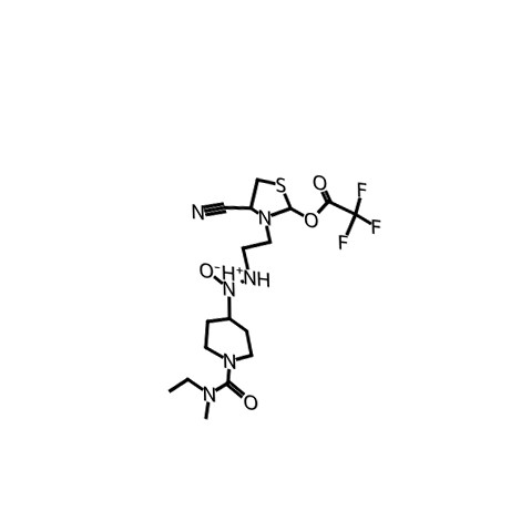 CCN(C)C(=O)N1CCC([NH+]([O-])NCCN2C(C#N)CSC2OC(=O)C(F)(F)F)CC1